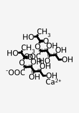 CC(O)C(=O)O[C@@H](C(=O)[O-])[C@@H](O)[C@H](O)[C@H](O)CO.CC(O)C(=O)O[C@@H](C(=O)[O-])[C@@H](O)[C@H](O)[C@H](O)CO.[Ca+2]